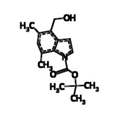 Cc1cc(C)c2c(ccn2C(=O)OC(C)(C)C)c1CO